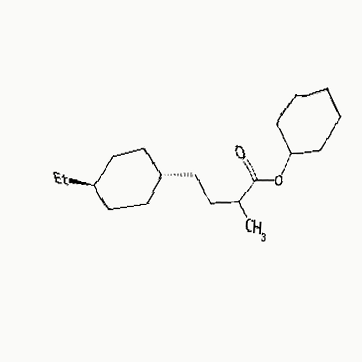 CC[C@H]1CC[C@H](CCC(C)C(=O)OC2CCCCC2)CC1